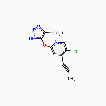 CC#Cc1cc(Oc2[nH]nnc2C(=O)O)ncc1Cl